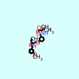 CCc1oc(-c2cccc(OC)c2)nc1COC1CCCC(C(=O)N[C@H](C(=O)O)C(C)C)C1